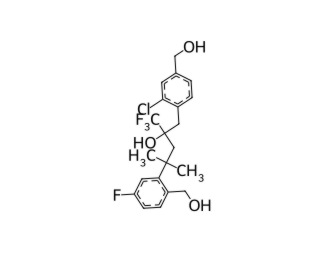 CC(C)(CC(O)(Cc1ccc(CO)cc1Cl)C(F)(F)F)c1cc(F)ccc1CO